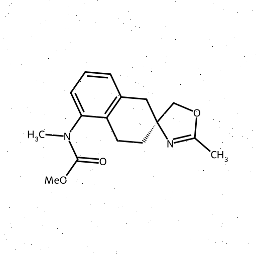 COC(=O)N(C)c1cccc2c1CC[C@@]1(COC(C)=N1)C2